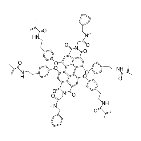 C=C(C)C(=O)NCCc1ccc(Oc2cc3c4c(cc(Oc5ccc(CCNC(=O)C(=C)C)cc5)c5c6c(Oc7ccc(CCNC(=O)C(=C)C)cc7)cc7c8c(cc(Oc9ccc(CCNC(=O)C(=C)C)cc9)c(c2c45)c86)C(=O)N(CC(=O)N(C)Cc2ccccc2)C7=O)C(=O)N(CC(=O)N(C)Cc2ccccc2)C3=O)cc1